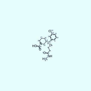 CNC(=O)CCO[C@@H](c1cccc(Cl)c1)C1CCCN(C(=O)O)C1